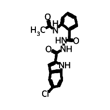 CC(=O)Nc1ccccc1C(=O)NNC(=O)c1cc2cc(Cl)ccc2[nH]1